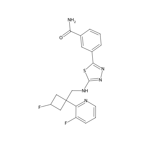 NC(=O)c1cccc(-c2nnc(NCC3(c4ncccc4F)CC(F)C3)s2)c1